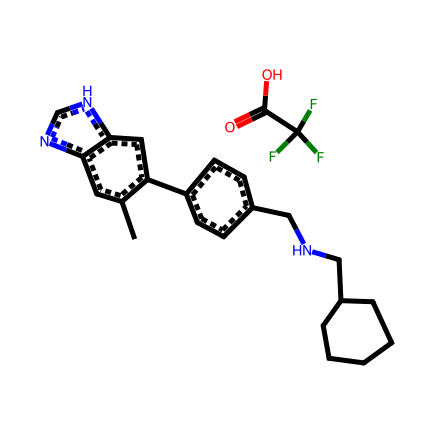 Cc1cc2nc[nH]c2cc1-c1ccc(CNCC2CCCCC2)cc1.O=C(O)C(F)(F)F